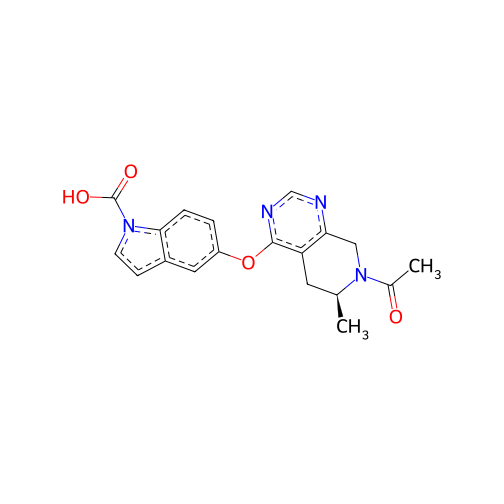 CC(=O)N1Cc2ncnc(Oc3ccc4c(ccn4C(=O)O)c3)c2C[C@@H]1C